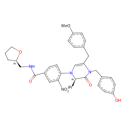 COc1ccc(CC2=CN(c3ccc(C(=O)NC[C@H]4CCCO4)cc3[N+](=O)[O-])[C@H](C(C)C)C(=O)N2Cc2ccc(O)cc2)cc1